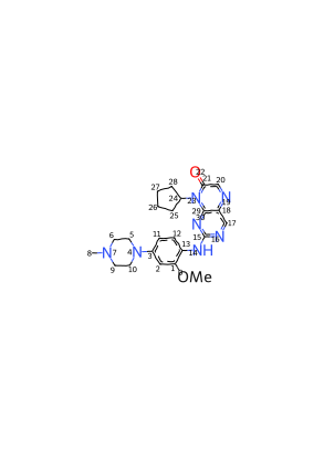 COc1cc(N2CCN(C)CC2)ccc1Nc1ncc2ncc(=O)n(C3CCCC3)c2n1